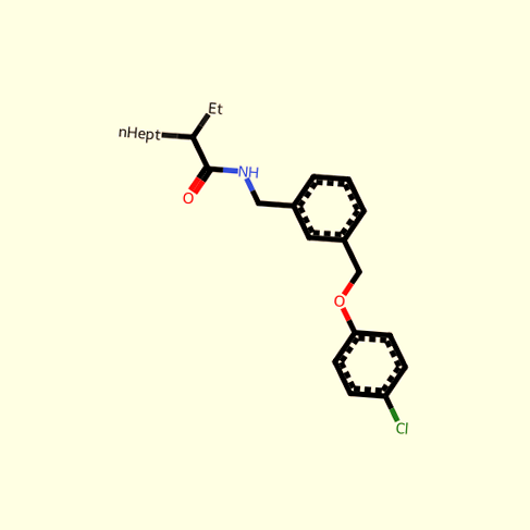 CCCCCCCC(CC)C(=O)NCc1cccc(COc2ccc(Cl)cc2)c1